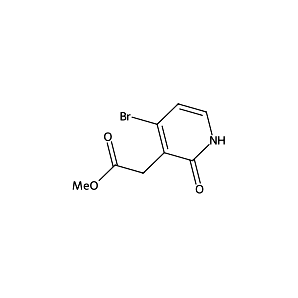 COC(=O)Cc1c(Br)cc[nH]c1=O